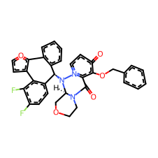 O=C1c2c(OCc3ccccc3)c(=O)ccn2N([C@@H]2c3ccccc3-c3occc3-c3c2ccc(F)c3F)[C@@H]2COCCN12